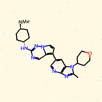 CN[C@H]1CC[C@H](Nc2ncc3c(-c4cnc5nc(C)n(C6CCOCC6)c5c4)ccn3n2)CC1